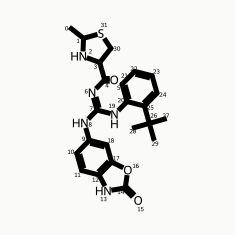 CC1NC(C(=O)/N=C(/Nc2ccc3[nH]c(=O)oc3c2)Nc2ccccc2C(C)(C)C)CS1